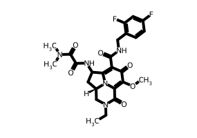 CCN1C[C@@H]2CC(NC(=O)C(=O)N(C)C)c3c(C(=O)NCc4ccc(F)cc4F)c(=O)c(OC)c(n32)C1=O